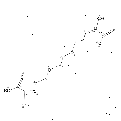 CC(=CCCOCCOCCC=C(C)C(=O)O)C(=O)O